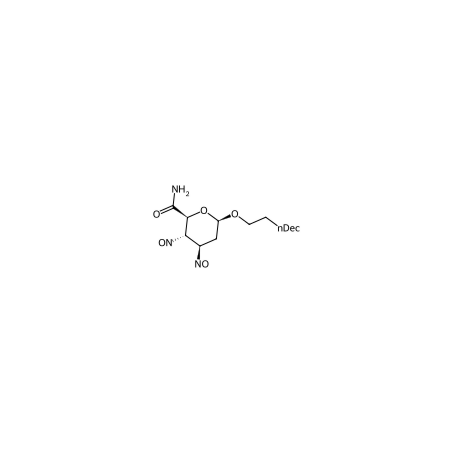 CCCCCCCCCCCCO[C@H]1C[C@@H](N=O)[C@H](N=O)[C@@H](C(N)=O)O1